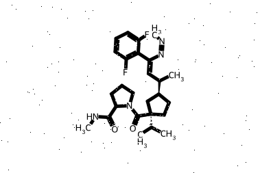 C/N=N\C(=C/C(C)[C@H]1CC[C@](C(=O)N2CCCC2C(=O)NC)(C(C)C)C1)c1c(F)cccc1F